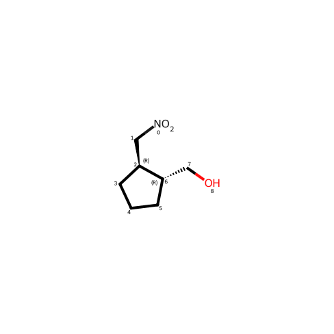 O=[N+]([O-])C[C@@H]1CCC[C@H]1CO